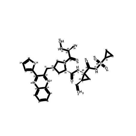 C=C[C@@H]1C[C@]1(NC(=O)[C@@H]1C[C@@H](Cc2nc3ccccc3nc2-c2cccs2)CN1C(=O)[C@@H](NO)C(C)C)C(=O)NS(=O)(=O)C1CC1